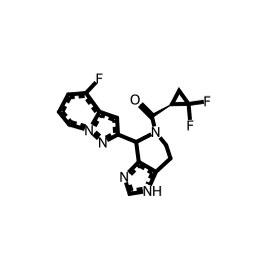 O=C([C@H]1CC1(F)F)N1CCc2[nH]cnc2C1c1cc2c(F)cccn2n1